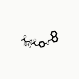 CC(=O)[C@@H](N)CNC(=O)Cc1ccc(OCc2cccc3ccccc23)cc1